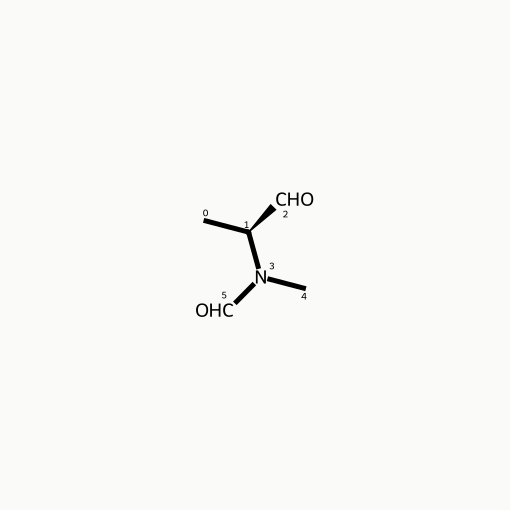 C[C@@H](C=O)N(C)C=O